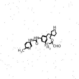 Cc1ccc(NC(=O)Nc2cc(F)cc(C[C@]3(CON(C)C=O)CCNC3)c2)cn1